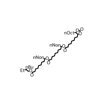 CCCCCCCCCC(CCCCCCCC(=O)OCC(CC)CCCC)OC(=O)CCCCCCCC(CCCCCCCCC)OC(=O)CCCCCCCC1OC(=O)OC1CCCCCCCC